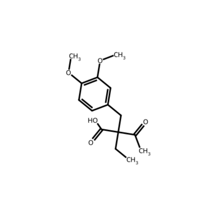 CCC(Cc1ccc(OC)c(OC)c1)(C(C)=O)C(=O)O